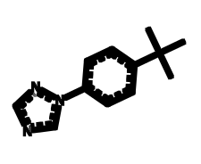 CC(C)(C)c1ccc(-n2cncn2)cc1